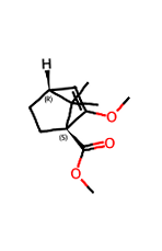 COC(=O)[C@]12CC[C@H](C=C1OC)C2(C)C